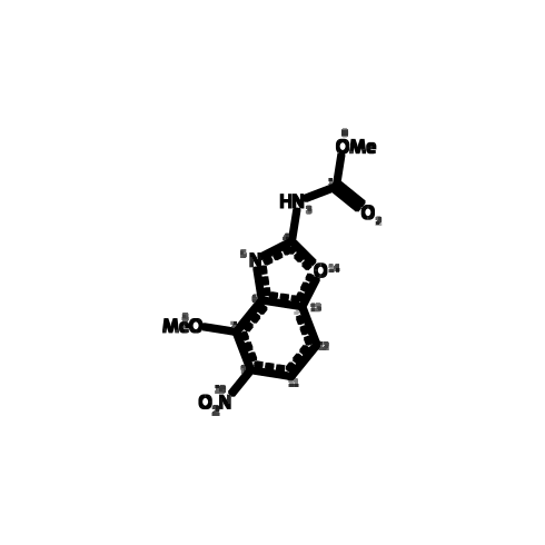 COC(=O)Nc1nc2c(OC)c([N+](=O)[O-])ccc2o1